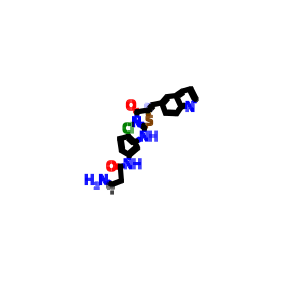 C[C@H](N)CC(=O)Nc1ccc(Cl)c(NC2=NC(=O)/C(=C/c3ccc4ncccc4c3)S2)c1